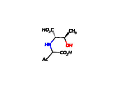 CC(=O)C(N[C@H](C(=O)O)[C@@H](C)O)C(=O)O